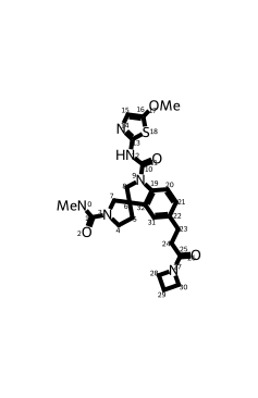 CNC(=O)N1CCC2(C1)CN(C(=O)Nc1ncc(OC)s1)c1ccc(CCC(=O)N3CCC3)cc12